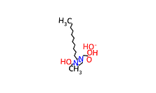 CCCCCCCCCCCC1=[N+](C(C)O)CCN1CC(=O)O.[OH-]